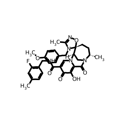 COc1ccc(CN2C(C)=NO[C@@]23CC[C@H](C)N2C[C@H]3n3cc(C(=O)NCc4ccc(C)cc4F)c(=O)c(O)c3C2=O)cc1